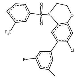 Cc1cc(F)cc(-c2cc3c(cc2Cl)OCCN3S(=O)(=O)c2cccc(C(F)(F)F)c2)c1